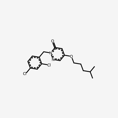 CC(C)CCCOc1cnn(Cc2ccc(Cl)cc2Cl)c(=O)c1